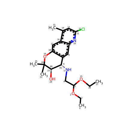 CCOC(CN[C@H]1c2cc3nc(Cl)cc(C)c3cc2OC(C)(C)[C@@H]1O)OCC